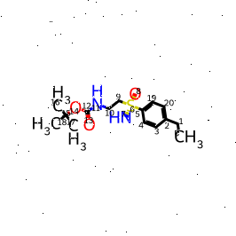 CCc1ccc(S(=N)(=O)CCNC(=O)OC(C)(C)C)cc1